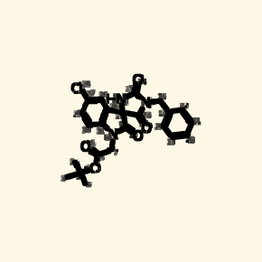 CC(C)(C)OC(=O)CN1C(=O)C2(NC(=O)N(Cc3ccccc3)C2=O)c2cc(Cl)ccc21